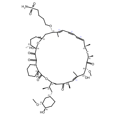 CO[C@@H]1C[C@H](C[C@@H](C)[C@@H]2CC(=O)[C@H](C)/C=C(\C)[C@@H](O)[C@@H](OC)C(=O)[C@H](C)C[C@H](C)/C=C/C=C/C=C(\C)[C@@H](OCCCCS(N)(=O)=O)C[C@@H]3CC[C@@H](C)[C@@](O)(O3)C(=O)C(=O)N3CCCC[C@H]3C(=O)O2)CC[C@H]1O